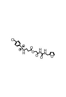 O=C(COC(=O)CCNS(=O)(=O)c1ccc(Cl)cc1)NC(=O)NCc1ccco1